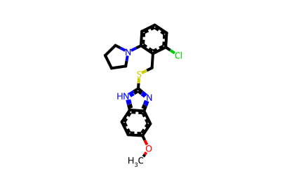 COc1ccc2[nH]c(SCc3c(Cl)cccc3N3CCCC3)nc2c1